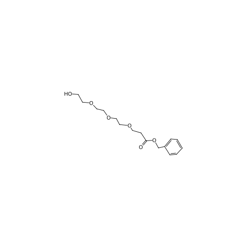 O=C(CCOCCOCCOCCO)OCc1ccccc1